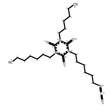 N#CCCCCCCn1c(=O)n(CCCCCC#N)c(=O)n(CCCCCCN=C=O)c1=O